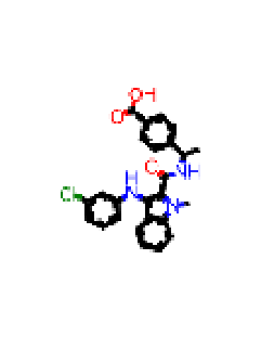 CC(NC(=O)c1c(Nc2cccc(Cl)c2)c2ccccc2n1C)c1ccc(C(=O)O)cc1